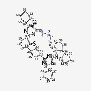 C=C/C=C\C=C\c1nc(-c2cccc3c2sc2cc(-c4nc(-c5ccccc5)nc(-n5c6ccccc6c6ccccc65)n4)ccc23)nc2c1oc1ccccc12